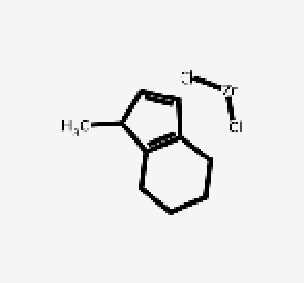 CC1[C]=CC2=C1CCCC2.[Cl][Zr][Cl]